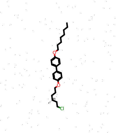 CCCCCCCCOc1ccc(-c2ccc(OCCC[C@@H](C)CCCl)cc2)cc1